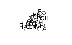 CC(C)(C)OC(=O)N(C(=O)OC(C)(C)C)c1nccc2cc(NC(C(=O)O)c3ccccc3F)ccc12